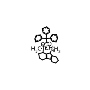 CC1C2=C(CCCC2)C2=C1[CH]([Ti]([CH3])([CH3])[O]C(=O)C(c1ccccc1)(c1ccccc1)c1ccccc1)CCC2